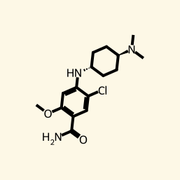 COc1cc(N[C@H]2CC[C@H](N(C)C)CC2)c(Cl)cc1C(N)=O